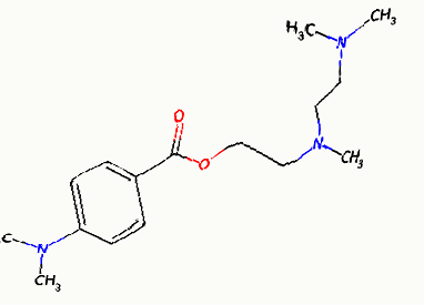 CN(C)CCN(C)CCOC(=O)c1ccc(N(C)C)cc1